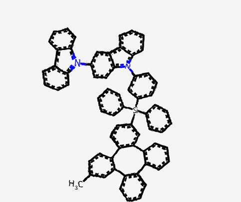 Cc1ccc2c(c1)-c1ccccc1-c1ccccc1-c1cc([Si](c3ccccc3)(c3ccccc3)c3cccc(-n4c5ccccc5c5cc(-n6c7ccccc7c7ccccc76)ccc54)c3)ccc1-2